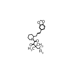 CCC(C)(C)C(=O)C(=O)N1CCCCC1CC=Cc1ccc2c(c1)OCO2